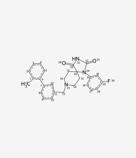 Cc1ccccc1-c1cccc(CN2CCC3(CC2)C(=O)NC(=O)N3c2cccc(F)c2)c1